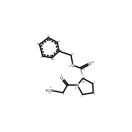 NCC(=O)N1CCC[C@H]1C(=O)OCc1ccccc1